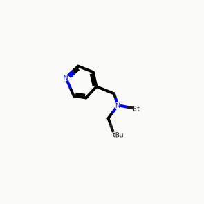 CCN(Cc1ccncc1)CC(C)(C)C